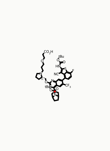 CC(C)(C)OC(=O)Nc1sc2c(F)ccc(-c3cc4nc(OC[C@@H]5CCCN5CCCOCCC(=O)O)nc(N5CC6CCC(C5)N6C(=O)OC(C)(C)C)c4cc3C(F)(F)F)c2c1C#N